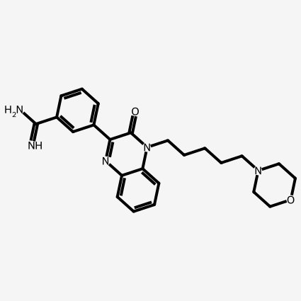 N=C(N)c1cccc(-c2nc3ccccc3n(CCCCCN3CCOCC3)c2=O)c1